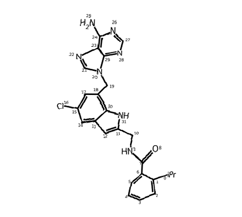 CC(C)c1ccccc1C(=O)NCc1cc2cc(Cl)cc(Cn3cnc4c(N)ncnc43)c2[nH]1